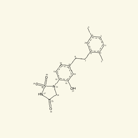 Cc1ccc(C)c(CCc2ccc(N3CC(=O)NS3(=O)=O)c(O)c2)c1